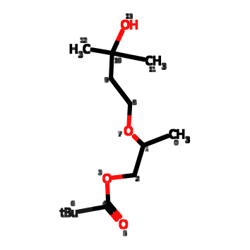 CC(COC(=O)C(C)(C)C)OCCC(C)(C)O